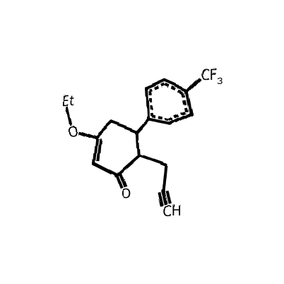 C#CCC1C(=O)C=C(OCC)CC1c1ccc(C(F)(F)F)cc1